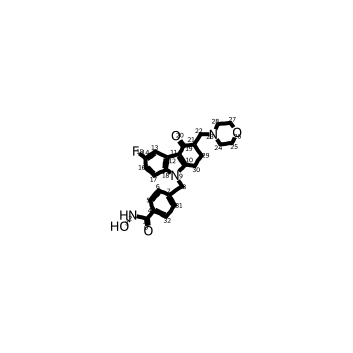 O=C(NO)c1ccc(Cn2c3c(c4cc(F)ccc42)C(=O)C(CN2CCOCC2)CC3)cc1